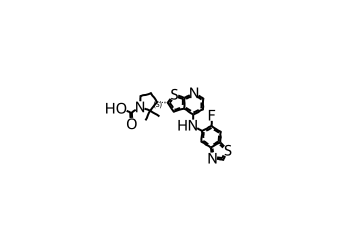 CC1(C)[C@@H](c2cc3c(Nc4cc5ncsc5cc4F)ccnc3s2)CCN1C(=O)O